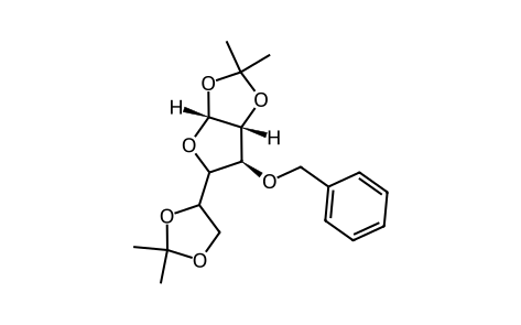 CC1(C)OCC(C2O[C@@H]3OC(C)(C)O[C@@H]3[C@H]2OCc2ccccc2)O1